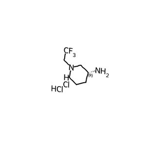 Cl.Cl.N[C@@H]1CCCN(CC(F)(F)F)C1